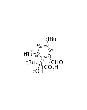 CC(C)(C)c1cc(C=O)c(C(O)(C(=O)O)C(C)(C)C)c(C(C)(C)C)c1